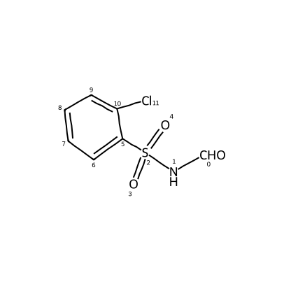 O=CNS(=O)(=O)c1ccccc1Cl